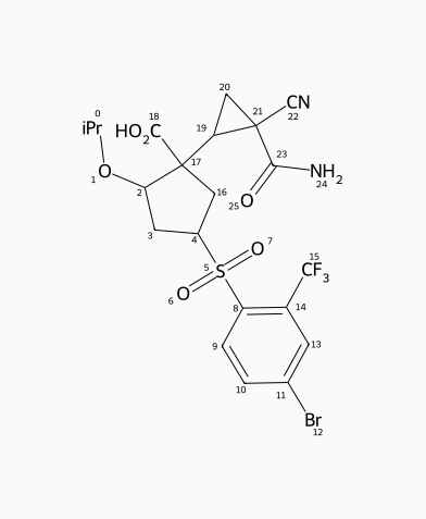 CC(C)OC1CC(S(=O)(=O)c2ccc(Br)cc2C(F)(F)F)CC1(C(=O)O)C1CC1(C#N)C(N)=O